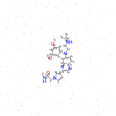 CNC(=O)Cn1ccc(-c2cnc3ccc(N(CCNC(C)C)c4cc(OC)cc(OC)c4)cc3n2)c1